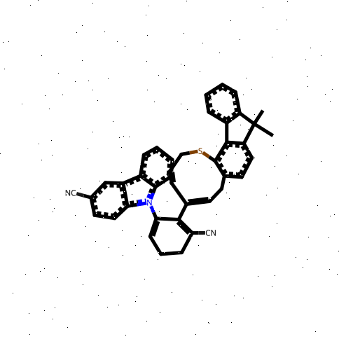 CC1(C)c2ccccc2-c2c1ccc1c2SC/C=C\C(C2=C(C#N)CCC=C2n2c3ccccc3c3cc(C#N)ccc32)=C/C1